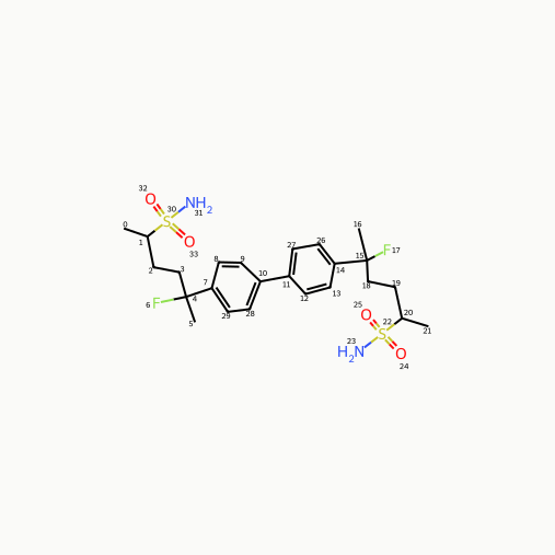 CC(CCC(C)(F)c1ccc(-c2ccc(C(C)(F)CCC(C)S(N)(=O)=O)cc2)cc1)S(N)(=O)=O